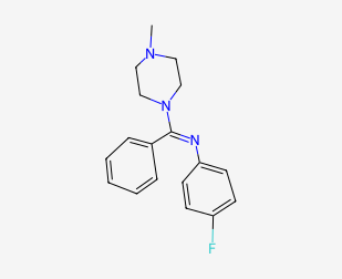 CN1CCN(C(=Nc2ccc(F)cc2)c2ccccc2)CC1